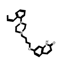 C/C=C\c1ccccc1N1CCN(CCCCOc2ccc3ccc(=O)[nH]c3c2)CC1